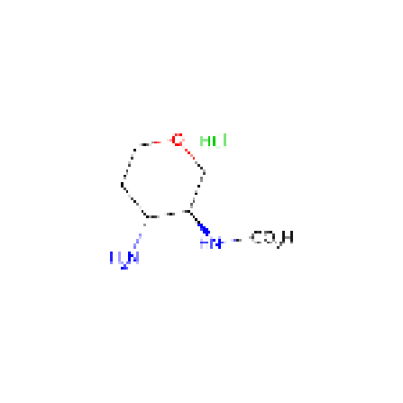 Cl.N[C@@H]1CCOC[C@H]1NC(=O)O